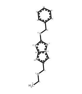 CCOCc1cn2nc(SCc3ccccc3)sc2n1